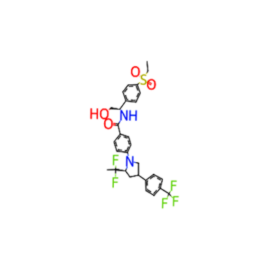 CCS(=O)(=O)c1ccc([C@H](CO)NC(=O)c2ccc(N3CC(c4ccc(C(F)(F)F)cc4)C[C@H]3C(C)(F)F)cc2)cc1